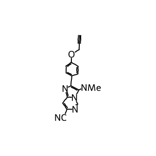 C#CCOc1ccc(-c2nc3cc(C#N)ncn3c2NC)cc1